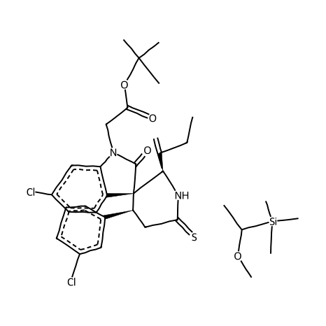 C=C(CC)[C@H]1NC(=S)C[C@@H](c2cccc(Cl)c2)[C@]12C(=O)N(CC(=O)OC(C)(C)C)c1cc(Cl)ccc12.COC(C)[Si](C)(C)C